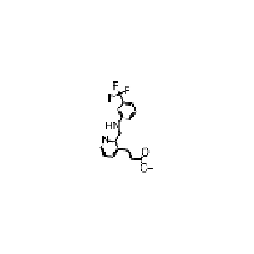 COC(=O)/C=C/c1cccnc1CNc1cccc(C(F)(F)F)c1